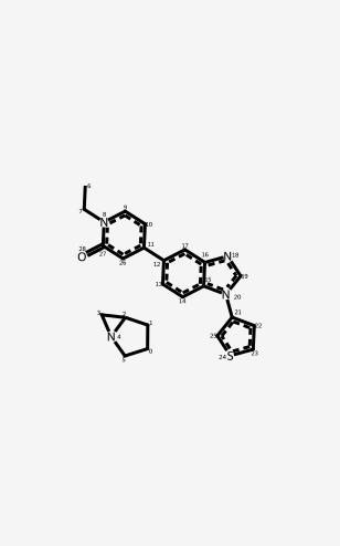 C1CC2CN2C1.CCn1ccc(-c2ccc3c(c2)ncn3-c2ccsc2)cc1=O